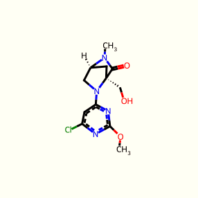 COc1nc(Cl)cc(N2C[C@@H]3C[C@@]2(CO)C(=O)N3C)n1